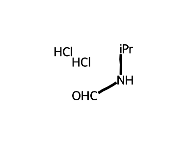 CC(C)NC=O.Cl.Cl